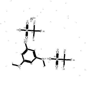 COc1cc([O-])cc(OC)c1.O=S(=O)([O-])C(F)(F)F.O=S(=O)([O-])C(F)(F)F.[Al+3]